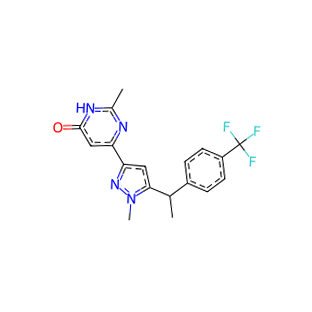 Cc1nc(-c2cc(C(C)c3ccc(C(F)(F)F)cc3)n(C)n2)cc(=O)[nH]1